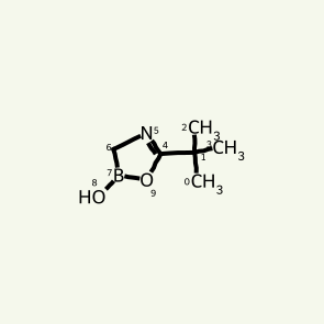 CC(C)(C)C1=NCB(O)O1